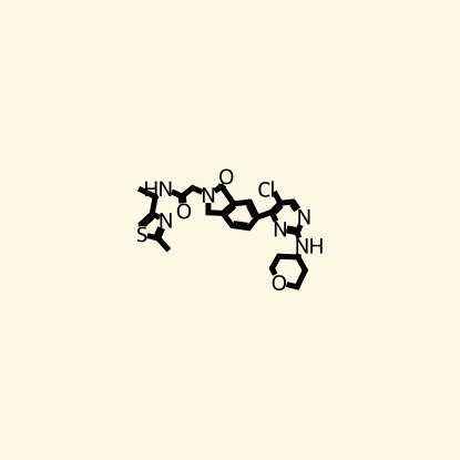 Cc1nc(C(C)NC(=O)CN2Cc3ccc(-c4nc(NC5CCOCC5)ncc4Cl)cc3C2=O)cs1